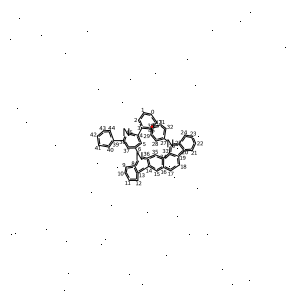 c1ccc(-c2cc(-n3c4ccccc4c4cc5ccc6c7ccccc7n(-c7ccccc7)c6c5cc43)cc(-c3ccccc3)n2)cc1